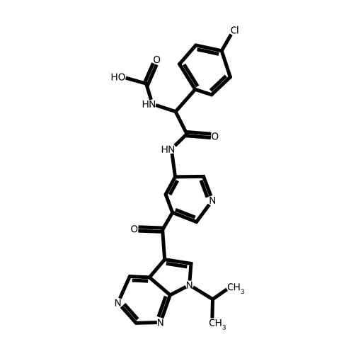 CC(C)n1cc(C(=O)c2cncc(NC(=O)C(NC(=O)O)c3ccc(Cl)cc3)c2)c2cncnc21